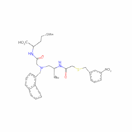 CCC(C)C(CN(CC(=O)NC(CCSC)C(=O)O)Cc1cccc2ccccc12)NC(=O)CSCc1cccc([N+](=O)[O-])c1